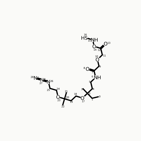 CCC(C)(CCNC(=O)COCC(=O)ONS)OCCC(C)(C)OCCN=[N+]=[N-]